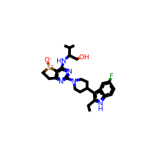 CCc1[nH]c2ccc(F)cc2c1C1CCN(c2nc3c(c(NC(CO)C(C)C)n2)[S+]([O-])CC3)CC1